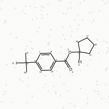 CCC1(OC(=O)c2ccc(C(C)(C)I)cc2)CCCC1